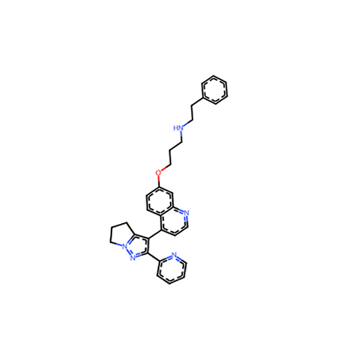 c1ccc(CCNCCCOc2ccc3c(-c4c(-c5ccccn5)nn5c4CCC5)ccnc3c2)cc1